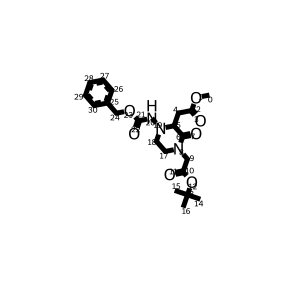 COC(=O)CC1C(=O)N(CC(=O)OC(C)(C)C)CCN1NC(=O)OCc1ccccc1